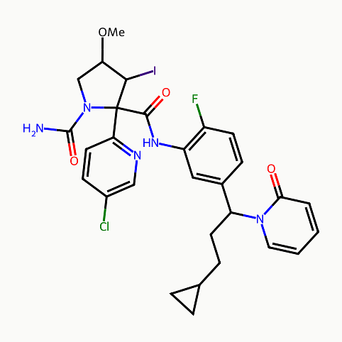 COC1CN(C(N)=O)C(C(=O)Nc2cc(C(CCC3CC3)n3ccccc3=O)ccc2F)(c2ccc(Cl)cn2)C1I